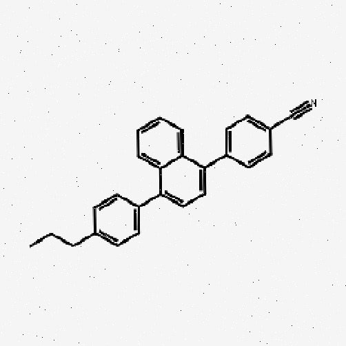 CCCc1ccc(-c2ccc(-c3ccc(C#N)cc3)c3ccccc23)cc1